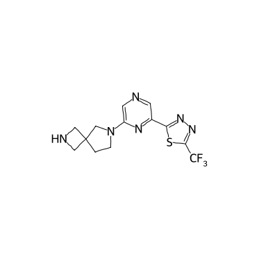 FC(F)(F)c1nnc(-c2cncc(N3CCC4(CNC4)C3)n2)s1